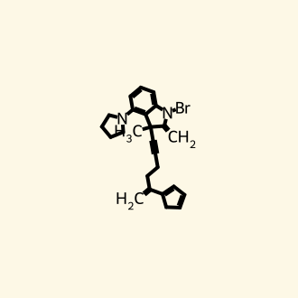 C=C(CCC#CC1(C)C(=C)N(Br)c2cccc(N3CCCC3)c21)C1=CC=CC1